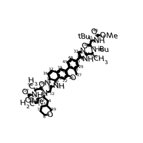 C=CC[C@H](CC1CCCOC1)N(CC1=NC2C=Cc3cc4c(cc3C2N1)OCc1cc(-c2cnc([C@H](C)N(C(=O)[C@@H](NC(=O)OC)C(C)(C)C)[C@@H](C)CC)[nH]2)ccc1-4)C(=O)[C@H](C)NC(=O)OC